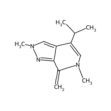 C=C1c2nn(C)cc2C(C(C)C)=CN1C